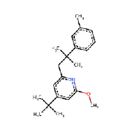 COc1cc(C(C)(C)C)cc(CC(C)(C)c2cccc(C)c2)n1